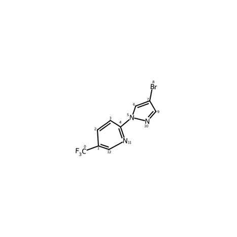 FC(F)(F)c1ccc(-n2cc(Br)cn2)nc1